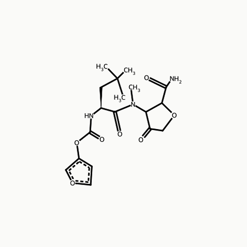 CN(C(=O)[C@H](CC(C)(C)C)NC(=O)Oc1ccoc1)C1C(=O)COC1C(N)=O